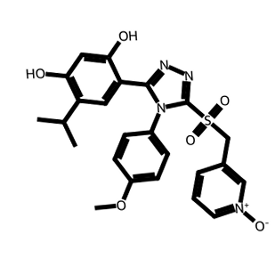 COc1ccc(-n2c(-c3cc(C(C)C)c(O)cc3O)nnc2S(=O)(=O)Cc2ccc[n+]([O-])c2)cc1